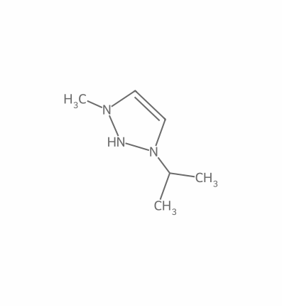 CC(C)N1C=CN(C)N1